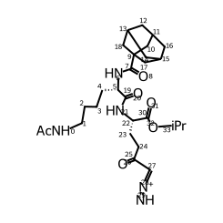 CC(=O)NCCCC[C@H](NC(=O)C12CC3CC(CC(C3)C1)C2)C(=O)N[C@@H](CCC(=O)C=[N+]=N)C(=O)OC(C)C